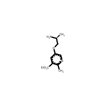 CCOC(=O)c1cc(OC[C@H](C)N)cnc1C